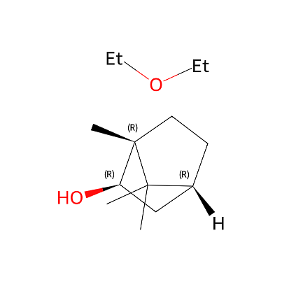 CC1(C)[C@@H]2CC[C@@]1(C)[C@H](O)C2.CCOCC